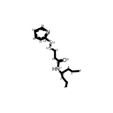 CCCC(CCC)NC(=O)CCSSc1ccccn1